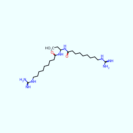 N=C(N)NCCCCCCCCC(=O)NC(CC(=O)O)NC(=O)CCCCCCCCNC(=N)N